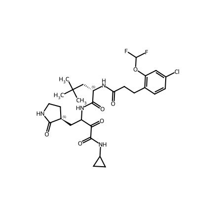 CC(C)(C)C[C@H](NC(=O)CCc1ccc(Cl)cc1OC(F)F)C(=O)NC(C[C@@H]1CCNC1=O)C(=O)C(=O)NC1CC1